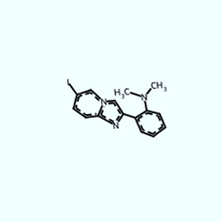 CN(C)c1ccccc1-c1cn2cc(I)ccc2n1